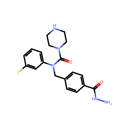 NNC(=O)c1ccc(CN(C(=O)N2CCNCC2)c2cccc(F)c2)cc1